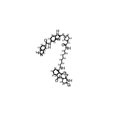 Cn1ncc2cc(C(=O)Nc3ccc4[nH]c(CN5CCC(CC(=O)NCCCCCCCNc6cccc7c6C(=O)N(C6CCC(=O)NC6=O)C7=O)C5)nc4c3)ccc21